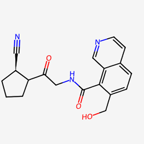 N#C[C@@H]1CCCC1C(=O)CNC(=O)c1c(CO)ccc2ccncc12